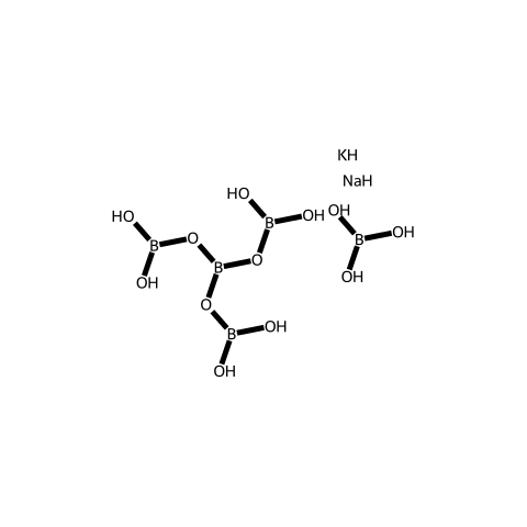 OB(O)O.OB(O)OB(OB(O)O)OB(O)O.[KH].[NaH]